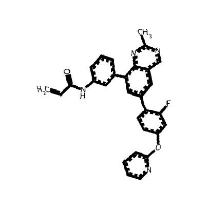 C=CC(=O)Nc1cccc(-c2cc(-c3ccc(Oc4ccccn4)cc3F)cc3cnc(C)nc23)c1